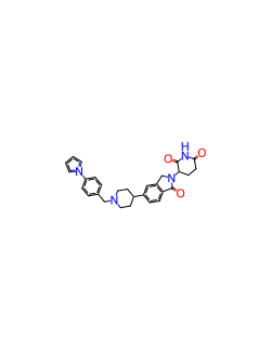 O=C1CCC(N2Cc3cc(C4CCN(Cc5ccc(-n6cccc6)cc5)CC4)ccc3C2=O)C(=O)N1